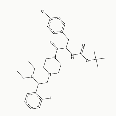 CCN(CC)C(CN1CCN(C(=O)C(Cc2ccc(Cl)cc2)NC(=O)OC(C)(C)C)CC1)c1ccccc1F